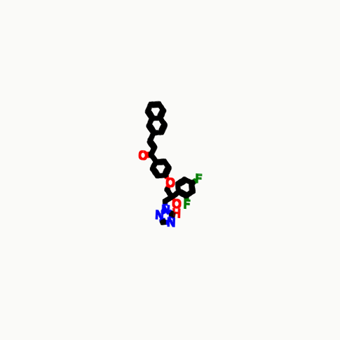 O=C(/C=C/c1ccc2ccccc2c1)c1ccc(OCC(O)(Cn2cncn2)c2ccc(F)cc2F)cc1